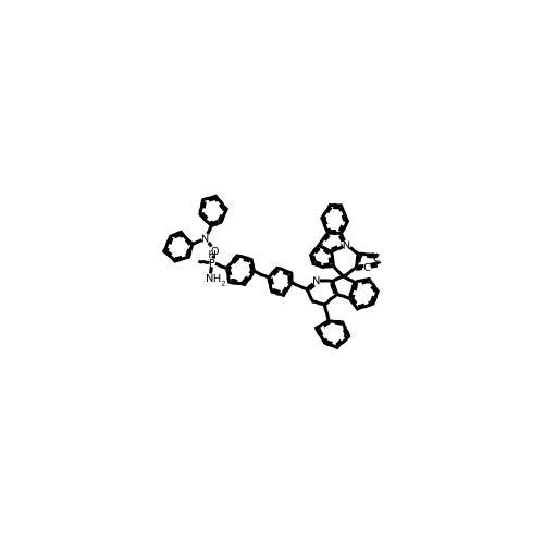 C[PH](N)(ON(c1ccccc1)c1ccccc1)c1ccc(-c2ccc(C3=NC4=C(c5ccccc5C45c4ccccc4-n4c6ccccc6c6cccc5c64)C(c4ccccc4)C3)cc2)cc1